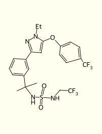 CCn1nc(-c2cccc(C(C)(C)NS(=O)(=O)NCC(F)(F)F)c2)cc1Oc1ccc(C(F)(F)F)cc1